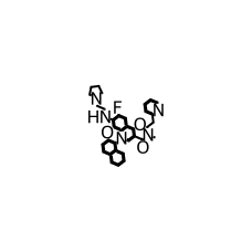 CN(CCc1ccccn1)C(=O)c1cn2c3c(c(NCCN4CCCC4)c(F)cc3c1=O)Oc1ccc3ccccc3c1-2